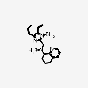 BN(Cc1nc(/C=C\C)c(C=C)n1B)C1CCCc2cccnc21